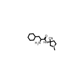 CN1CCC(C#N)(NC(=O)C(N)CC2CCCCC2)C1